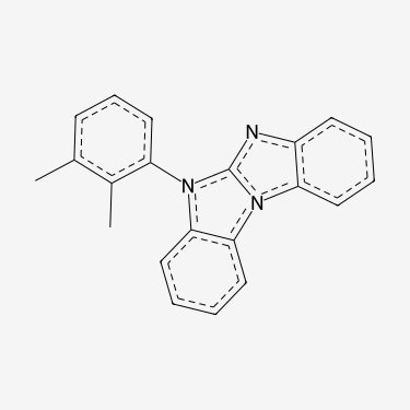 Cc1cccc(-n2c3ccccc3n3c4ccccc4nc23)c1C